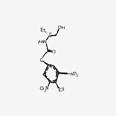 CC[C@H](CO)NC(=O)Oc1cc([N+](=O)[O-])c(Cl)c([N+](=O)[O-])c1